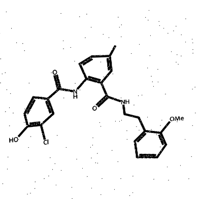 COc1ccccc1CCNC(=O)c1cc(C)ccc1NC(=O)c1ccc(O)c(Cl)c1